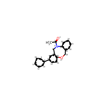 CC(=O)N1Cc2cc(-c3ccccc3)ccc2OCc2ccccc21